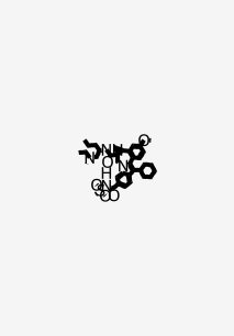 CCCC(CN(C)CC)NC(=O)C12CC1c1cc(OC)ccc1-c1c(C3CCCCC3)c3ccc(C(=O)NS(C)(=O)=O)cc3n1C2